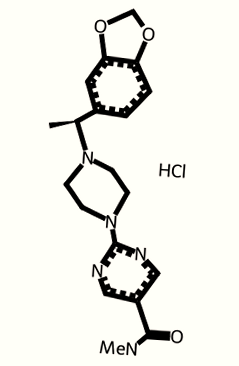 CNC(=O)c1cnc(N2CCN([C@@H](C)c3ccc4c(c3)OCO4)CC2)nc1.Cl